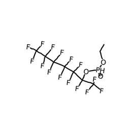 CCO[PH](=O)OC(F)(C(F)(F)F)C(F)(F)C(F)(F)C(F)(F)C(F)(F)C(F)(F)F